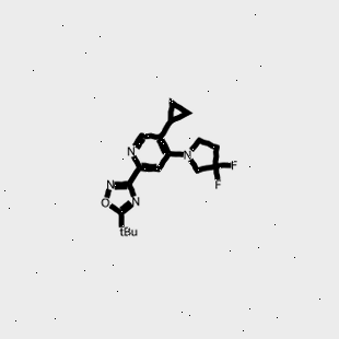 CC(C)(C)c1nc(-c2cc(N3CCC(F)(F)C3)c(C3CC3)cn2)no1